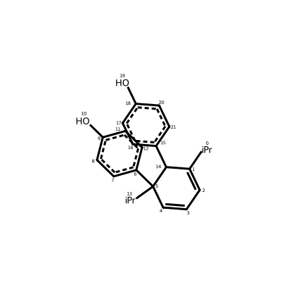 CC(C)C1=CC=CC(c2ccc(O)cc2)(C(C)C)C1c1ccc(O)cc1